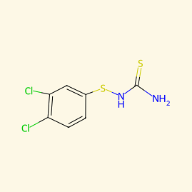 NC(=S)NSc1ccc(Cl)c(Cl)c1